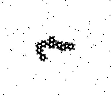 c1ccc(-c2ccc3ccc4ccc(-c5ccc(-c6ccc7c(ccc8c9ccccc9oc78)c6)c6ccccc56)nc4c3n2)cc1